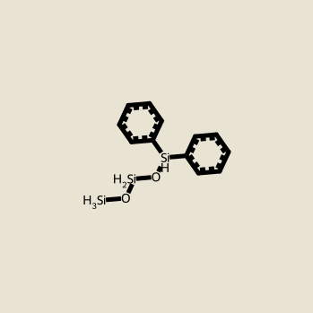 [SiH3]O[SiH2]O[SiH](c1ccccc1)c1ccccc1